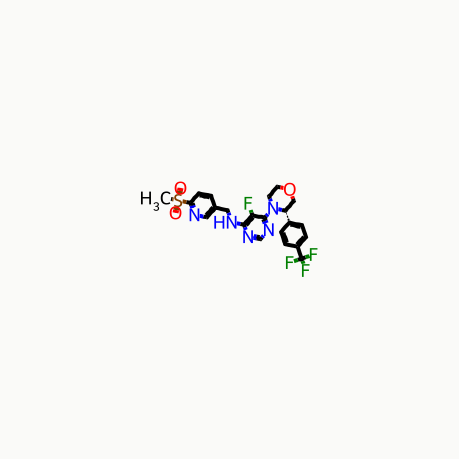 CS(=O)(=O)c1ccc(CNc2ncnc(N3CCOC[C@@H]3c3ccc(C(F)(F)F)cc3)c2F)cn1